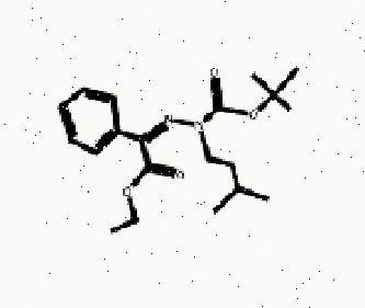 CCOC(=O)/C(=N\N(CCC(C)C)C(=O)OC(C)(C)C)c1ccccc1